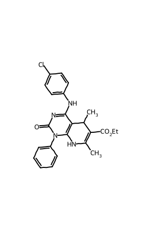 CCOC(=O)C1=C(C)Nc2c(c(Nc3ccc(Cl)cc3)nc(=O)n2-c2ccccc2)C1C